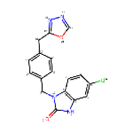 O=c1[nH]c2cc(Cl)ccc2n1Cc1ccc(Cc2nnco2)cc1